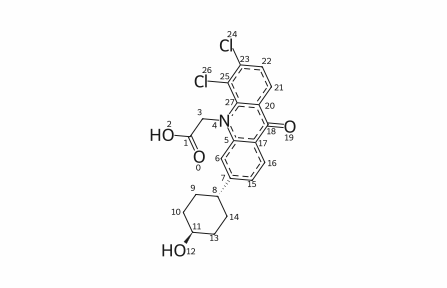 O=C(O)Cn1c2cc([C@H]3CC[C@H](O)CC3)ccc2c(=O)c2ccc(Cl)c(Cl)c21